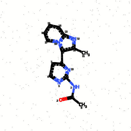 CC(=O)Nc1nccc(-c2c(C)nc3ccccn23)n1